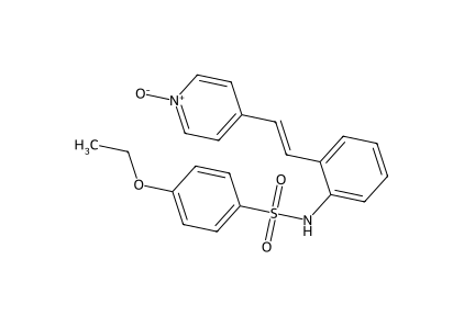 CCOc1ccc(S(=O)(=O)Nc2ccccc2/C=C/c2cc[n+]([O-])cc2)cc1